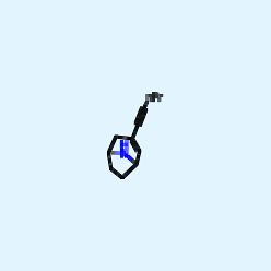 CCCC#CC1=CC2CCC(C1)N2